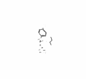 CCCC.CP(=O)(O)OOS(=O)(=O)c1ccc(Cl)cc1